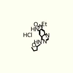 CCn1c(=O)[nH]c2cc3c(NCC4CCCO4)ncnc3cc21.Cl